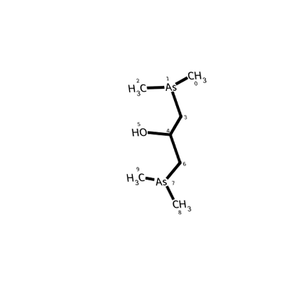 C[As](C)CC(O)C[As](C)C